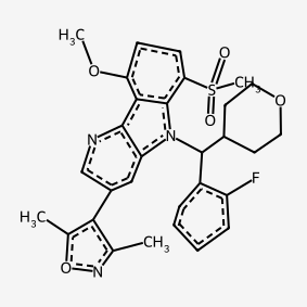 COc1ccc(S(C)(=O)=O)c2c1c1ncc(-c3c(C)noc3C)cc1n2C(c1ccccc1F)C1CCOCC1